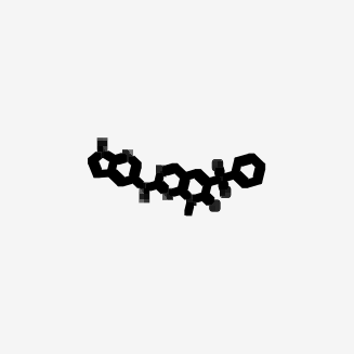 Cn1c(=O)c(S(=O)(=O)c2ccccc2)cc2cnc(Nc3cnc4[nH]ccc4c3)nc21